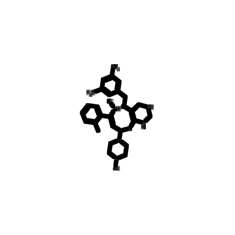 CC(=O)N1CCN(C2/C=C(/c3ccccc3C)[NH+]([O-])C(Cc3cc(C(F)(F)F)cc(C(F)(F)F)c3)C3=C(NCNC3)O2)CC1